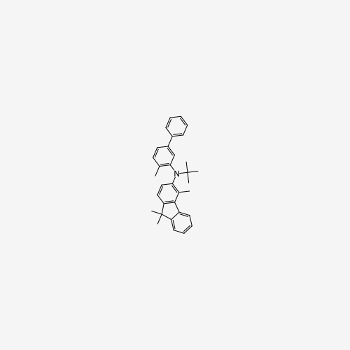 Cc1ccc(-c2ccccc2)cc1N(c1ccc2c(c1C)-c1ccccc1C2(C)C)C(C)(C)C